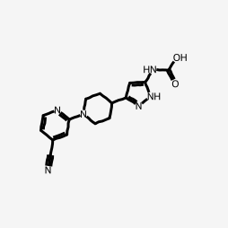 N#Cc1ccnc(N2CCC(c3cc(NC(=O)O)[nH]n3)CC2)c1